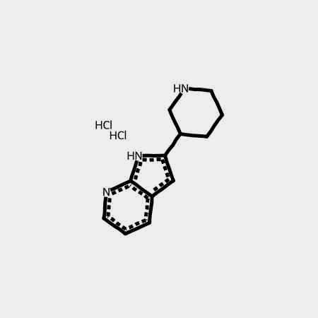 Cl.Cl.c1cnc2[nH]c(C3CCCNC3)cc2c1